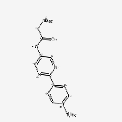 CCCCCCCCCCCC(=O)Oc1cnc(-c2ccc(CCCCCC)cc2)nc1